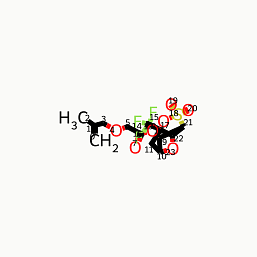 C=C(C)COCC(=O)OC1C2CC3(C(F)(F)F)OS(=O)(=O)C1C3O2